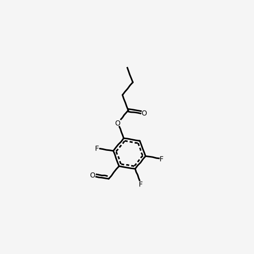 CCCC(=O)Oc1cc(F)c(F)c(C=O)c1F